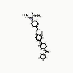 CN(N)/C(=N\N)N1CCC(COc2ccc(C3=CCC(C(=O)N4CCCC4)CC3)cc2F)CC1